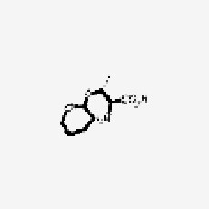 C[C@@H](OC1CCCCO1)[C@H](N)C(=O)O